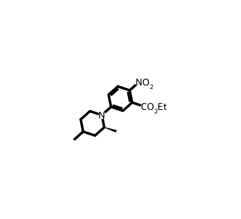 CCOC(=O)c1cc(N2CCC(C)C[C@@H]2C)ccc1[N+](=O)[O-]